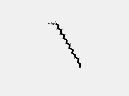 [CH]=C/C=C/C=C/C=C/C=C/C=C/C=C/C=C/C=C/CCCCCCC